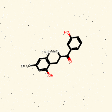 CCOC(=O)c1cc(O)c(CC(OC)C(=O)c2cccc(O)c2)c(C(=O)OCC)c1